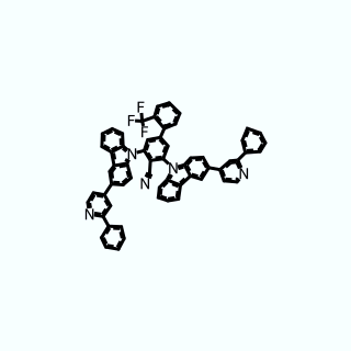 N#Cc1c(-n2c3ccccc3c3cc(-c4ccnc(-c5ccccc5)c4)ccc32)cc(-c2ccccc2C(F)(F)F)cc1-n1c2ccccc2c2cc(-c3ccnc(-c4ccccc4)c3)ccc21